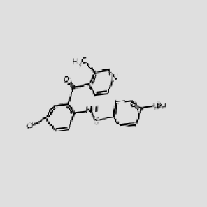 Cc1cnccc1C(=O)c1cc(Cl)ccc1NSc1ccc(C(C)(C)C)cc1